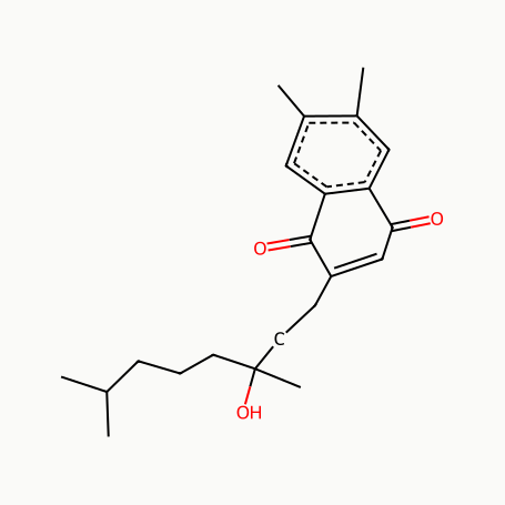 Cc1cc2c(cc1C)C(=O)C(CCC(C)(O)CCCC(C)C)=CC2=O